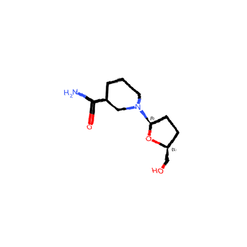 NC(=O)C1CCCN([C@H]2CC[C@@H](CO)O2)C1